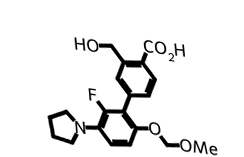 COCOc1ccc(N2CCCC2)c(F)c1-c1ccc(C(=O)O)c(CO)c1